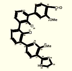 COc1cc(-c2nccc(-c3cccc(-c4ccc(C5=NCCN5)c(OC)n4)c3Cl)c2Cl)ccc1C=O